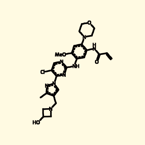 C=CC(=O)Nc1cc(Nc2ncc(Cl)c(-n3cc(CN4CC(O)C4)c(C)n3)n2)c(OC)cc1N1CCOCC1